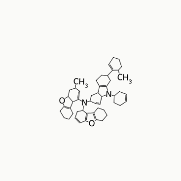 CC1C=C(N(C2C=CC3C(C2)C2=C(CC(C4=CCCCC4C)CC2)N3C2CC=CCC2)C2CC=Cc3oc4c(c32)CCCC4)C2C3=C(CCCC3)OC2C1